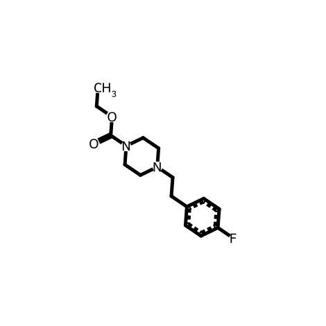 CCOC(=O)N1CCN(CCc2ccc(F)cc2)CC1